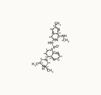 CNc1nc(NC(=O)c2ccc(N3C[C@@H](C)N[C@H](C)C3)c3nccnc23)cn2cc(C)nc12